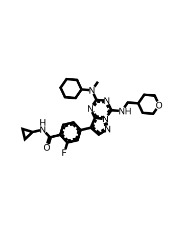 CN(c1nc(NCC2CCOCC2)n2ncc(-c3ccc(C(=O)NC4CC4)c(F)c3)c2n1)C1CCCCC1